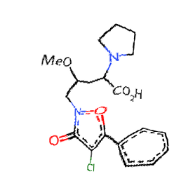 COC(Cn1oc(-c2ccccc2)c(Cl)c1=O)C(C(=O)O)N1CCCC1